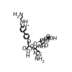 C[n+]1cc(-c2ccc(OCC(O/N=C(\C(=O)N[C@@H]3C(=O)N(OS(=O)(=O)O)C3(C)C)c3csc(N)n3)C(=O)O)cc2)ccc1CNCCN